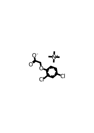 C[N+](C)(C)C.O=C([O-])COc1ccc(Cl)cc1Cl